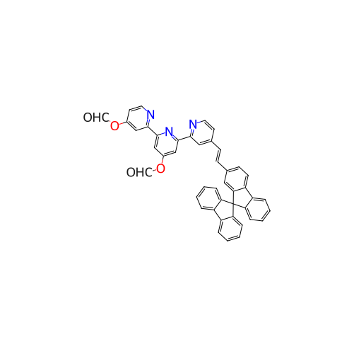 O=COc1ccnc(-c2cc(OC=O)cc(-c3cc(/C=C/c4ccc5c(c4)C4(c6ccccc6-c6ccccc64)c4ccccc4-5)ccn3)n2)c1